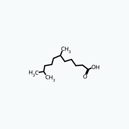 CC(C)CCCC(C)CCCCC(=O)O